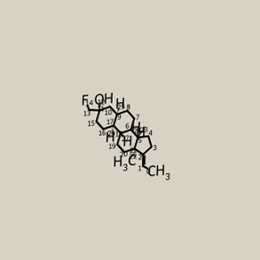 CC=C1CC[C@H]2[C@@H]3CC[C@@H]4C[C@@](O)(CF)CC[C@@H]4[C@H]3CC[C@]12C